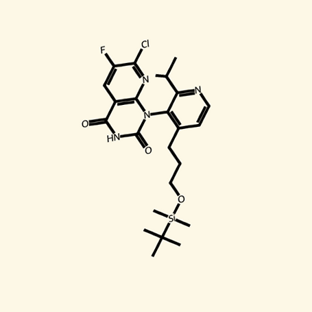 CC(C)c1nccc(CCCO[Si](C)(C)C(C)(C)C)c1-n1c(=O)[nH]c(=O)c2cc(F)c(Cl)nc21